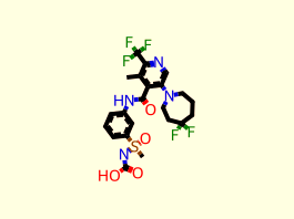 Cc1c(C(F)(F)F)ncc(N2CCCC(F)(F)CC2)c1C(=O)Nc1cccc(S(C)(=O)=NC(=O)O)c1